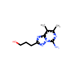 Cc1nc(N)n2nc(CCCO)nc2c1C